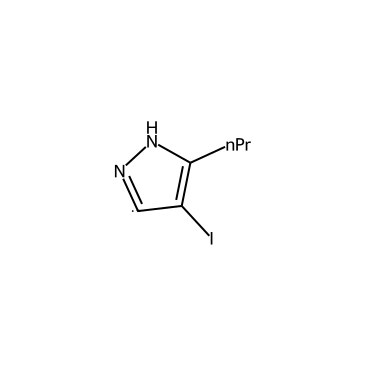 CCCc1[nH]n[c]c1I